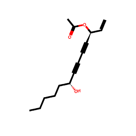 C=C[C@@H](C#CC#C[C@H](O)CCCCC)OC(C)=O